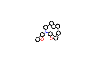 c1ccc(-c2cccc3c2ccc2c(-c4cccc(N(c5ccc6c(c5)oc5ccccc56)c5ccc6c(c5)oc5ccccc56)c4)cccc23)cc1